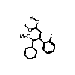 CCOC(CC(c1ccccc1F)C(OC)C1CCCCC1)OCC